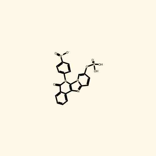 O=c1c2ccccc2c2nc3ccc(OP(=O)(O)O)cn3c2n1-c1ccc([N+](=O)[O-])cc1